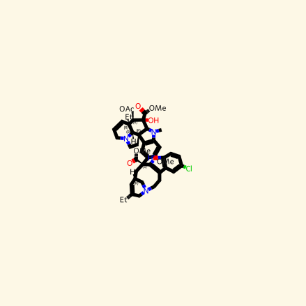 CCC1=C[C@@H]2CN(CCc3c([nH]c4ccc(Cl)cc34)[C@@](C(=O)OC)(c3cc4c(cc3OC)N(C)C3C(O)(C(=O)OC)[C@H](OC(C)=O)[C@]5(CC)C=CCN6CC[C@]43[C@@H]65)C2)C1